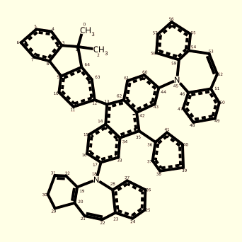 CC1(C)c2ccccc2-c2ccc(-c3c4ccc(N5C6=C(C=Cc7ccccc75)CCC=C6)cc4c(-c4ccccc4)c4cc(N5c6ccccc6C=Cc6ccccc65)ccc34)cc21